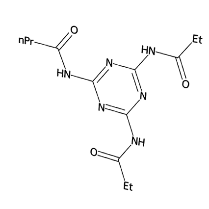 CCCC(=O)Nc1nc(NC(=O)CC)nc(NC(=O)CC)n1